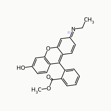 CC/N=c1\ccc2c(-c3ccccc3C(=O)OC)c3ccc(O)cc3oc-2c1